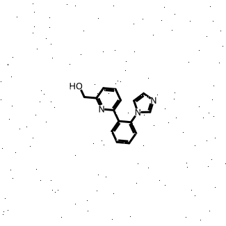 OCc1cccc(-c2ccccc2-n2ccnc2)n1